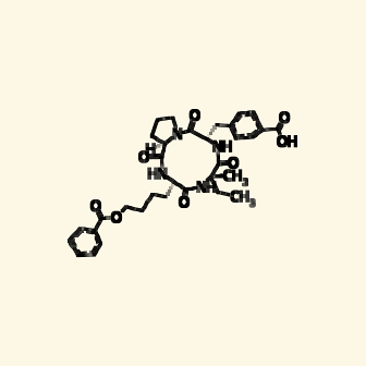 CC[C@]1(C)NC(=O)[C@H](CCCCOC(=O)c2ccccc2)NC(=O)[C@H]2CCCN2C(=O)[C@H](Cc2ccc(C(=O)O)cc2)NC1=O